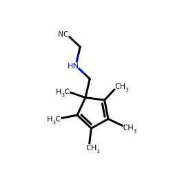 CC1=C(C)C(C)(CNCC#N)C(C)=C1C